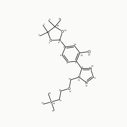 CC1(C)OB(c2ccc(-c3ncnn3COCC[Si](C)(C)C)c(Cl)c2)OC1(C)C